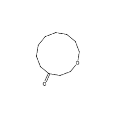 O=C1CCCCCCCCOCC1